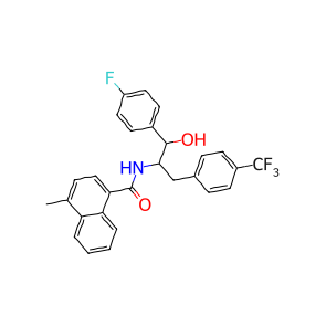 Cc1ccc(C(=O)NC(Cc2ccc(C(F)(F)F)cc2)C(O)c2ccc(F)cc2)c2ccccc12